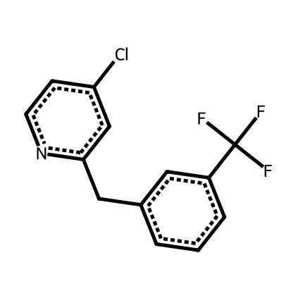 FC(F)(F)c1cccc(Cc2cc(Cl)ccn2)c1